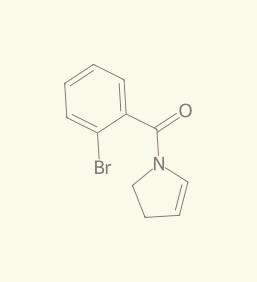 O=C(c1ccccc1Br)N1C=CCC1